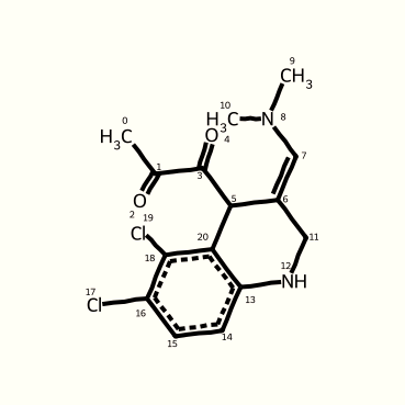 CC(=O)C(=O)C1/C(=C\N(C)C)CNc2ccc(Cl)c(Cl)c21